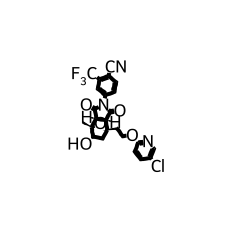 C[C@@]12O[C@@](CCOc3ccc(Cl)cn3)(C[C@H]1O)[C@@H]1C(=O)N(c3ccc(C#N)c(C(F)(F)F)c3)C(=O)[C@@H]12